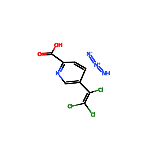 O=C(O)c1ccc(C(Cl)=C(Cl)Cl)cn1.[N-]=[N+]=N